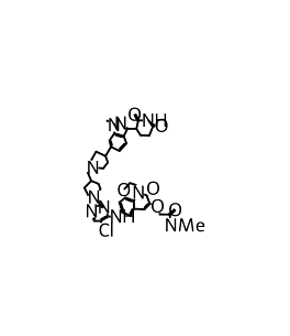 CNC(=O)COc1cc2cc(Nc3nc(N4CCC(CN5CCC(c6ccc7c(C8CCC(=O)NC8=O)nn(C)c7c6)CC5)CC4)ncc3Cl)cc3c2n(c1=O)CCO3